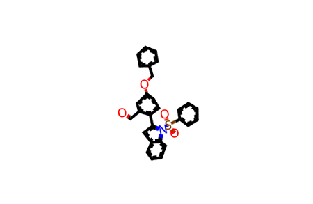 O=Cc1cc(OCc2ccccc2)ccc1-c1cc2ccccc2n1S(=O)(=O)c1ccccc1